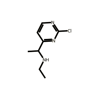 CCNC(C)c1ccnc(Cl)n1